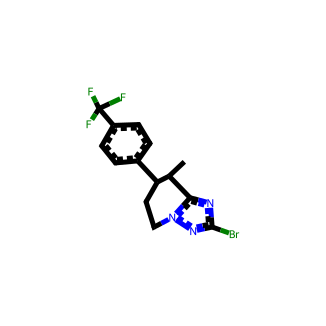 CC1c2nc(Br)nn2CCC1c1ccc(C(F)(F)F)cc1